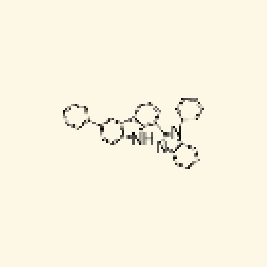 c1ccc(-c2ccc3[nH]c4c(-c5nc6ccccc6n5-c5ccccc5)cccc4c3c2)cc1